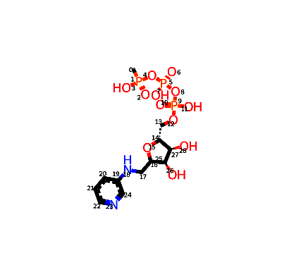 CP(=O)(O)OP(=O)(O)OP(=O)(O)OC[C@H]1OC(CNc2cccnc2)[C@H](O)[C@@H]1O